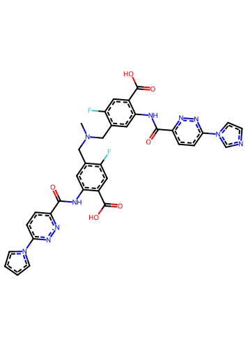 CN(Cc1cc(NC(=O)c2ccc(-n3cccc3)nn2)c(C(=O)O)cc1F)Cc1cc(NC(=O)c2ccc(-n3ccnc3)nn2)c(C(=O)O)cc1F